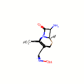 NC1C(=O)N2C(C(=O)O)=C(/C=N\O)CS[C@H]12